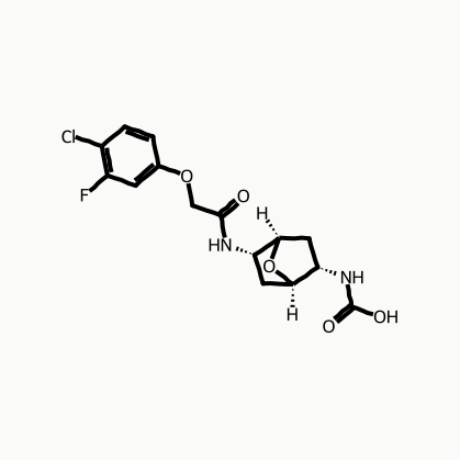 O=C(O)N[C@H]1C[C@H]2O[C@@H]1C[C@@H]2NC(=O)COc1ccc(Cl)c(F)c1